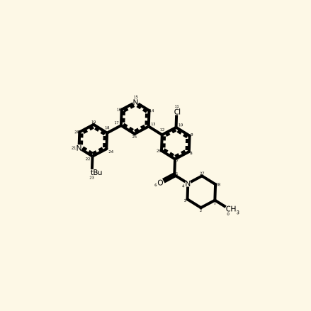 CC1CCN(C(=O)c2ccc(Cl)c(-c3cncc(-c4ccnc(C(C)(C)C)c4)c3)c2)CC1